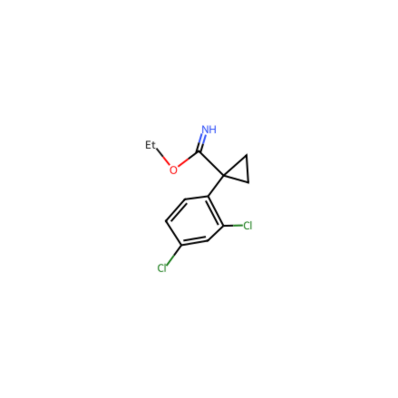 CCOC(=N)C1(c2ccc(Cl)cc2Cl)CC1